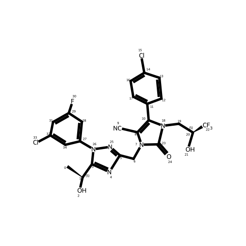 C[C@H](O)c1nc(Cn2c(C#N)c(-c3ccc(Cl)cc3)n(C[C@H](O)C(F)(F)F)c2=O)nn1-c1cc(F)cc(Cl)c1